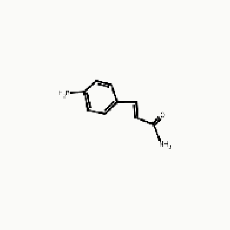 Bc1ccc(/C=C/C(N)=O)cc1